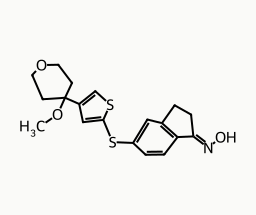 COC1(c2csc(Sc3ccc4c(c3)CC/C4=N\O)c2)CCOCC1